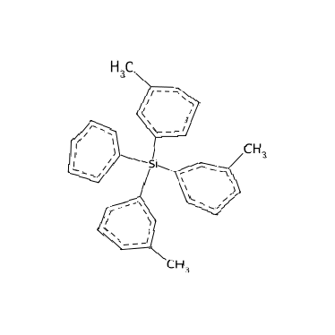 Cc1cccc([Si](c2ccccc2)(c2cccc(C)c2)c2cccc(C)c2)c1